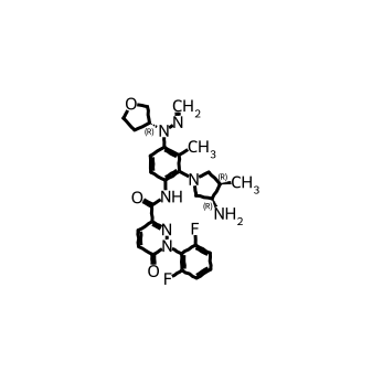 C=NN(c1ccc(NC(=O)c2ccc(=O)n(-c3c(F)cccc3F)n2)c(N2C[C@@H](C)[C@@H](N)C2)c1C)[C@@H]1CCOC1